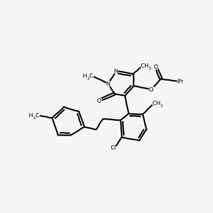 Cc1ccc(CCc2c(Cl)ccc(C)c2-c2c(OC(=O)C(C)C)c(C)nn(C)c2=O)cc1